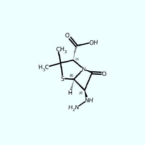 CC1(C)S[C@@H]2[C@H](NN)C(=O)N2[C@H]1C(=O)O